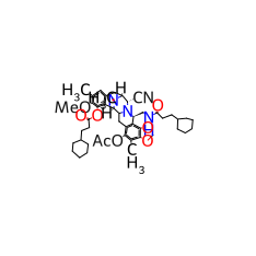 COc1c(C)cc2c(c1OC(=O)CCC1CCCCC1)[C@@H]1C3Cc4c(OC(C)=O)c(C)c5c(c4[C@H](CNC(=O)CCC4CCCCC4)N3[C@@H](C#N)[C@H](C2)N1C)OCO5